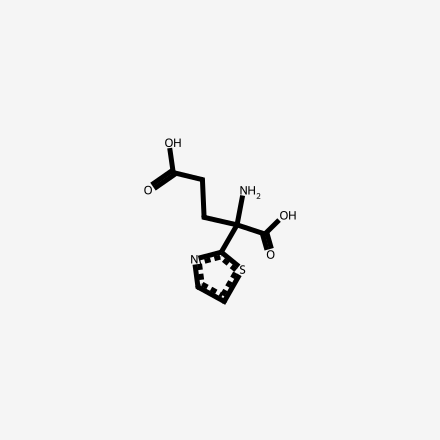 NC(CCC(=O)O)(C(=O)O)c1nccs1